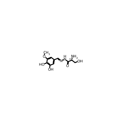 COc1cc(C=NNC(=O)[C@@H](N)CO)cc(O)c1O